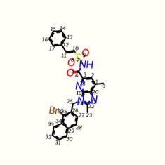 Cc1cc(C(=O)NS(=O)(=O)C=Cc2ccccc2)nc2c1nc(C)n2Cc1ccc2ccccc2c1Br